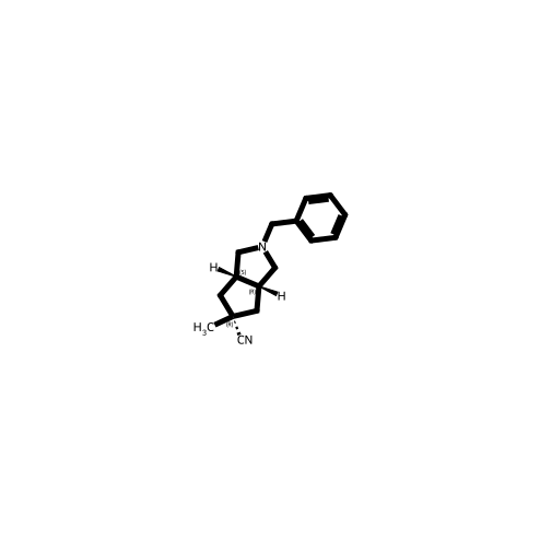 C[C@]1(C#N)C[C@H]2CN(Cc3ccccc3)C[C@H]2C1